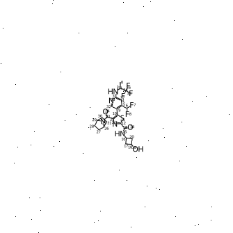 C[C@H](Nc1cc(C(F)F)c(-c2sc(C(=O)NC3CC(O)C3)nc2C(=O)N2C3CCC2CC3)cn1)C(F)(F)F